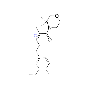 CCc1cc(CC/C=C(/C)C(=O)N2CCOCC2(C)C)ccc1C